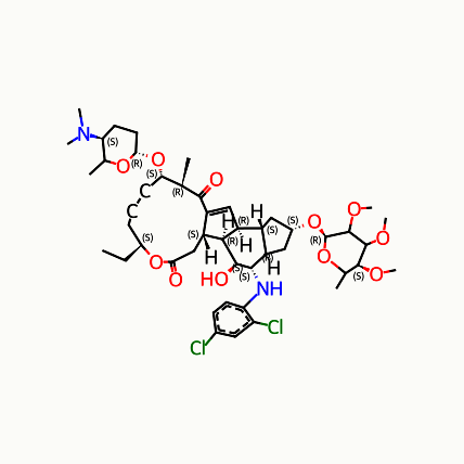 CC[C@H]1CCC[C@H](O[C@H]2CC[C@H](N(C)C)C(C)O2)[C@@H](C)C(=O)C2=C[C@H]3[C@@H]4C[C@H](O[C@@H]5OC(C)[C@H](OC)C(OC)C5OC)C[C@H]4[C@H](Nc4ccc(Cl)cc4Cl)[C@@H](O)[C@H]3[C@@H]2CC(=O)O1